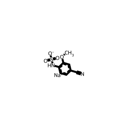 COc1cc(C#N)ccc1NS(=O)(=O)[O-].[Na+]